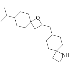 CC(C)C1CCC2(CC1)CC(CC1CCC3(CCN3)CC1)O2